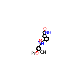 CC(C)Oc1ccc(-c2noc(-c3cccc4c3CC3CC(=O)NC43)n2)cc1C#N